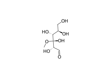 CO[C@](O)([C@H](O)[C@H](O)CO)[C@@H](O)C=O